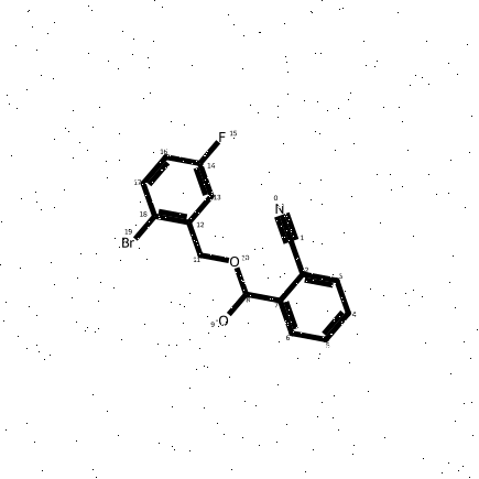 N#Cc1ccccc1C([O])OCc1cc(F)ccc1Br